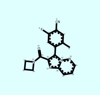 Cc1cc(C#N)c(F)cc1-c1c(C(=O)N2CCC2)nc2cccnn12